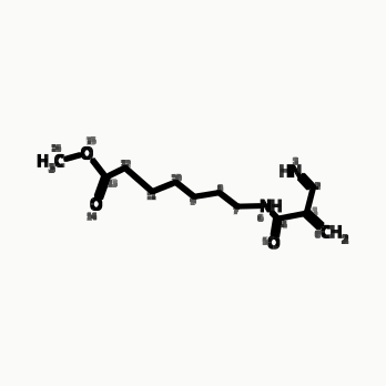 C=C(C=N)C(=O)NCCCCCCC(=O)OC